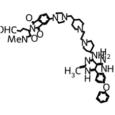 C/C=C/N=C(/NC1CCN(CCN2CCC(CN3CCN(c4ccc5c(c4)C(=O)N(C(CCC=O)C(=O)NC)C5=O)CC3)CC2)CC1)C(C(=N)c1ccc(Oc2ccccc2)cc1)=C(N)N